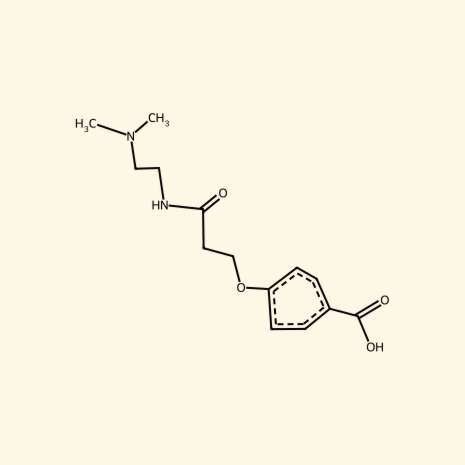 CN(C)CCNC(=O)CCOc1ccc(C(=O)O)cc1